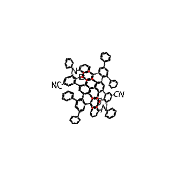 N#Cc1cc2c3c(c1)N(c1ccccc1)c1ccccc1B3c1cc3c(-c4c(-c5ccccc5)cc(-c5ccccc5)cc4-c4ccccc4)cc4c5c(cc6c(-c7c(-c8ccccc8)cc(-c8ccccc8)cc7-c7ccccc7)cc-2c1c6c35)B1c2ccccc2N(c2ccccc2)c2cc(C#N)cc-4c21